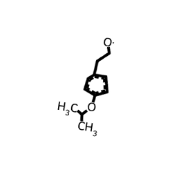 CC(C)Oc1ccc(CC[O])cc1